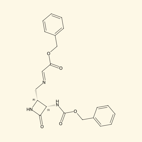 O=C(C=NC[C@H]1NC(=O)[C@H]1NC(=O)OCc1ccccc1)OCc1ccccc1